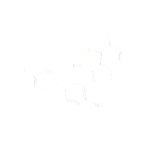 CC(Oc1cc(-c2ccc(Cl)c(Cl)c2)cnc1N)c1c(Cl)ccc(F)c1Cl